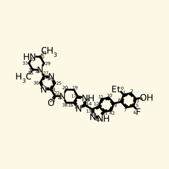 CCc1cc(O)c(F)cc1-c1ccc2c(-c3nc4c([nH]3)CCN(C(=O)c3cnc(N5C[C@@H](C)NC[C@@H]5C)cn3)C4)n[nH]c2c1